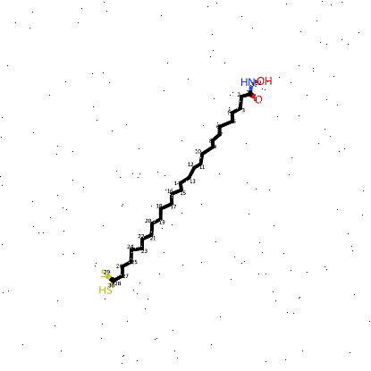 O=C(CCCCCCCCCCCCCCCCCCCCCCCCCCC(=S)S)NO